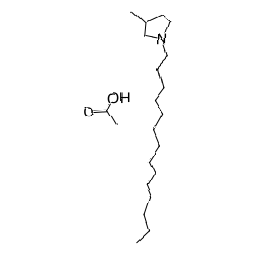 CC(=O)O.CCCCCCCCCCCCCCN1CCC(C)C1